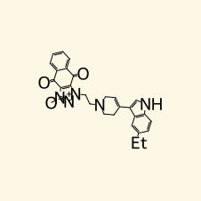 CCc1ccc2[nH]cc(C3=CCN(CCn4n[n+]([O-])c5c4C(=O)c4ccccc4C5=O)CC3)c2c1